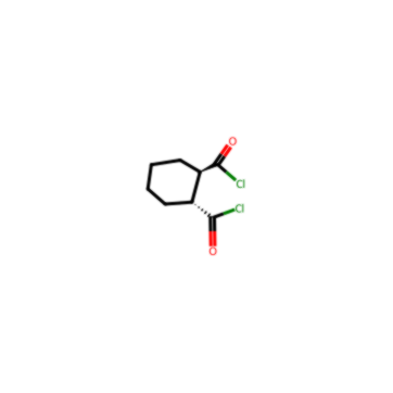 O=C(Cl)[C@@H]1CCCC[C@H]1C(=O)Cl